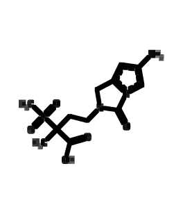 CC(CCN1Cc2cc(N)cn2C1=O)(C(=O)O)S(C)(=O)=O